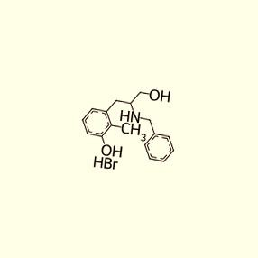 Br.Cc1c(O)cccc1CC(CO)NCc1ccccc1